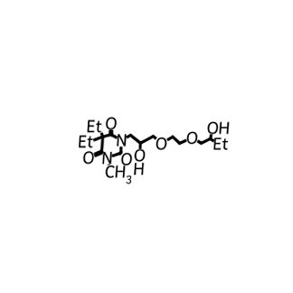 CCC(O)COCCOCC(O)CN1C(=O)N(C)C(=O)C(CC)(CC)C1=O